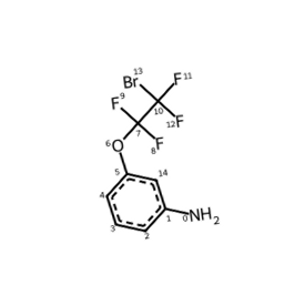 Nc1cccc(OC(F)(F)C(F)(F)Br)c1